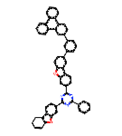 C1=Cc2oc3cc(-c4nc(-c5ccccc5)nc(-c5ccc6c(c5)oc5ccc(-c7cccc(-c8ccc9c%10ccccc%10c%10ccccc%10c9c8)c7)cc56)n4)ccc3c2CC1